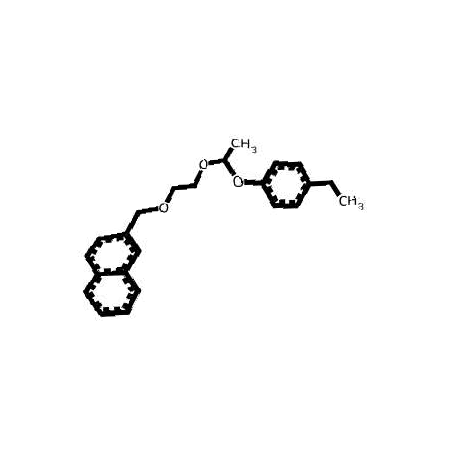 CCc1ccc(OC(C)OCCOCc2ccc3ccccc3c2)cc1